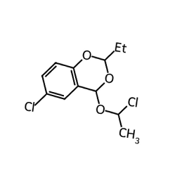 CCC1Oc2ccc(Cl)cc2C(OC(C)Cl)O1